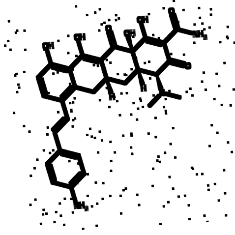 CN(C)[C@@H]1C(=O)C(C(N)=O)=C(O)[C@@]2(O)C(=O)C3=C(O)c4c(O)ccc(C=Cc5ccc(N)cc5)c4C[C@H]3C[C@@H]12